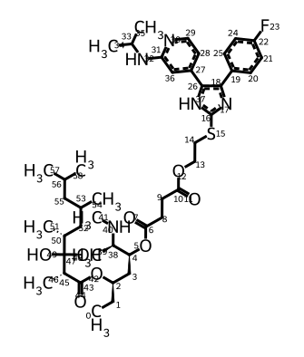 CC[C@H](C[C@H](OC(=O)CCC(=O)OCCSc1nc(-c2ccc(F)cc2)c(-c2ccnc(NC(C)C)c2)[nH]1)[C@@H](C)NC)OC(=O)[C@H](C)C(O)(O)[C@H](C)CC(C)CC(C)C